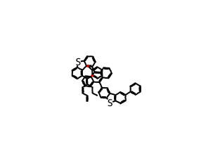 C=C/C=C\C(CCC)=C(\c1ccccc1C)c1cccc2sc3cccc(-c4c5ccccc5c(-c5ccc6sc7ccc(-c8ccccc8)cc7c6c5)c5ccccc45)c3c12